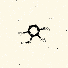 N#CSc1c(N)ccc([N+](=O)[O-])c1N